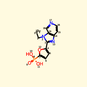 CC(C)Cn1c(-c2ccc(P(=O)(O)O)o2)nc2ccncc21